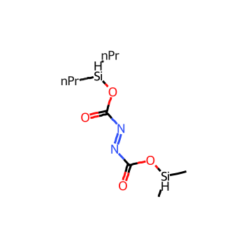 CCC[SiH](CCC)OC(=O)N=NC(=O)O[SiH](C)C